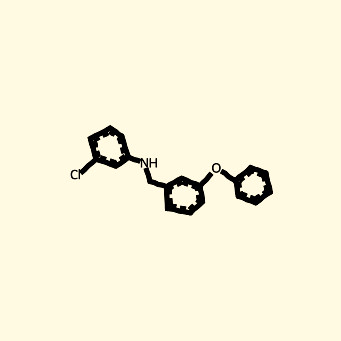 Clc1cccc(NCc2cccc(Oc3ccccc3)c2)c1